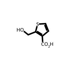 O=C(O)c1ccsc1CO